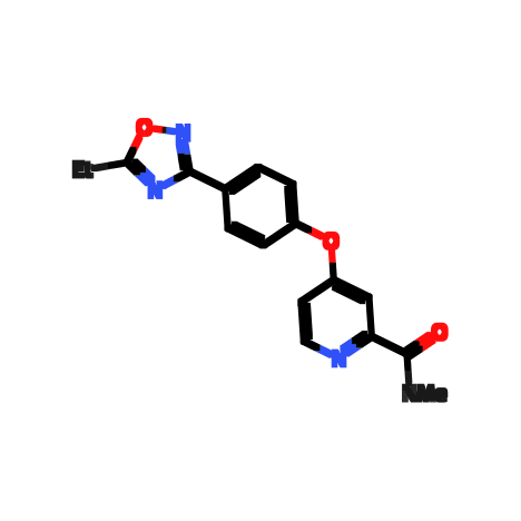 CCc1nc(-c2ccc(Oc3ccnc(C(=O)NC)c3)cc2)no1